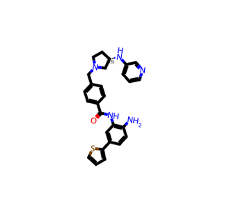 Nc1ccc(-c2cccs2)cc1NC(=O)c1ccc(CN2CC[C@H](Nc3cccnc3)C2)cc1